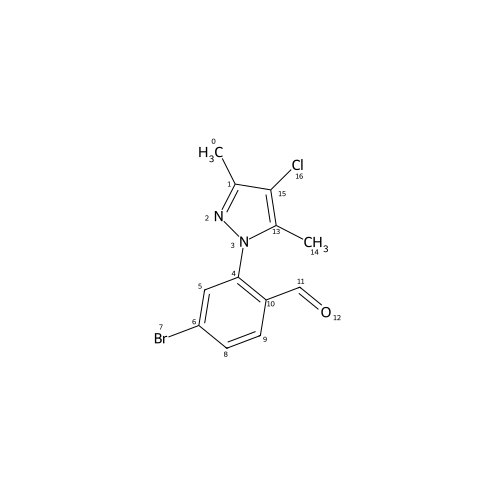 Cc1nn(-c2cc(Br)ccc2C=O)c(C)c1Cl